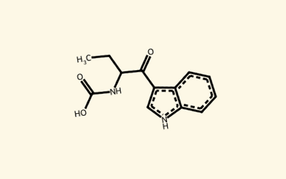 CCC(NC(=O)O)C(=O)c1c[nH]c2ccccc12